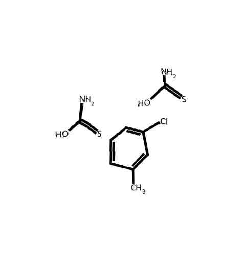 Cc1cccc(Cl)c1.NC(O)=S.NC(O)=S